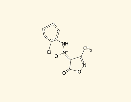 CC1=NOC(=O)/C1=[N+](\[O-])Nc1ccccc1Cl